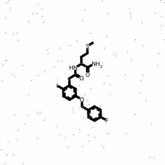 CSCCC(NC(=O)Cc1cc(OCc2ccc(F)cc2)ccc1I)C(N)=O